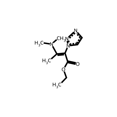 CCOC(=O)C(=C(C)N(C)C)n1ccnn1